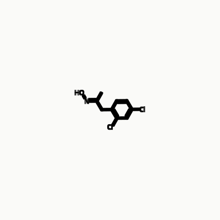 C/C(Cc1ccc(Cl)cc1Cl)=N\O